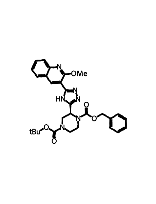 COc1nc2ccccc2cc1-c1nnc([C@@H]2CN(C(=O)OC(C)(C)C)CCN2C(=O)OCc2ccccc2)[nH]1